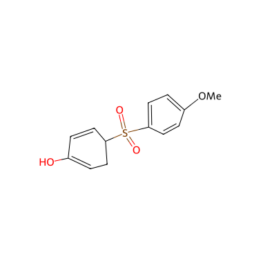 COc1ccc(S(=O)(=O)C2C=CC(O)=CC2)cc1